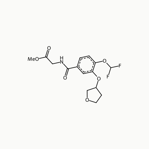 COC(=O)CNC(=O)c1ccc(OC(F)F)c(OC2CCOC2)c1